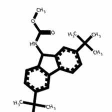 COC(=O)NC1c2ccc(C(C)(C)C)cc2-c2ccc(C(C)(C)C)cc21